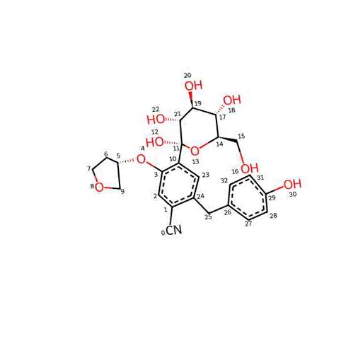 N#Cc1cc(O[C@H]2CCOC2)c([C@]2(O)O[C@H](CO)[C@@H](O)[C@H](O)[C@H]2O)cc1Cc1ccc(O)cc1